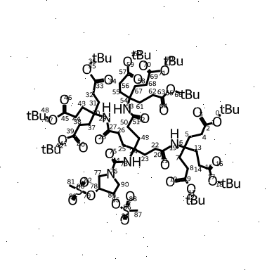 CC(C)(C)OC(=O)CCC(CCC(=O)OC(C)(C)C)(CCC(=O)OC(C)(C)C)NC(=O)CCC(CCC(=O)NC(CCC(=O)OC(C)(C)C)(CCC(=O)OC(C)(C)C)CCC(=O)OC(C)(C)C)(CCC(=O)NC(CCC(=O)OC(C)(C)C)(CCC(=O)OC(C)(C)C)CCC(=O)OC(C)(C)C)NC(=O)N1C[C@H](OS(C)(=O)=O)[C@@H](OS(C)(=O)=O)C1